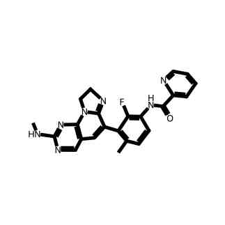 CNc1ncc2c(n1)N1CCN=C1C(c1c(C)ccc(NC(=O)c3ccccn3)c1F)=C2